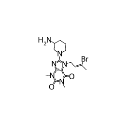 CC(Br)=CCn1c(N2CCCC(N)C2)nc2c1c(=O)n(C)c(=O)n2C